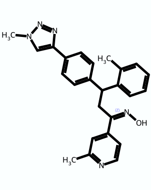 Cc1cc(/C(CC(c2ccc(-c3cn(C)nn3)cc2)c2ccccc2C)=N\O)ccn1